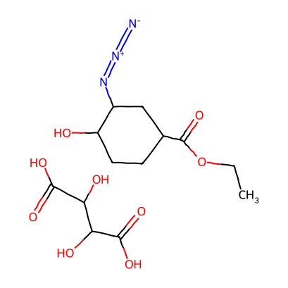 CCOC(=O)C1CCC(O)C(N=[N+]=[N-])C1.O=C(O)C(O)C(O)C(=O)O